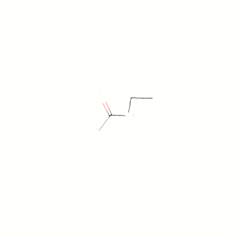 CCBC(C)=O